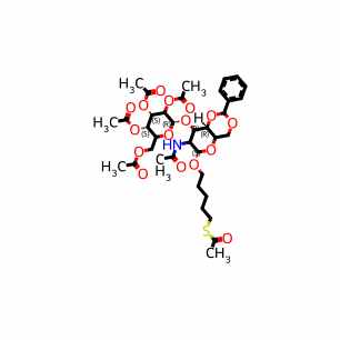 CC(=O)NC1[C@@H](OCCCCCSC(C)=O)OC2COC(c3ccccc3)O[C@@H]2[C@@H]1O[C@@H]1OC(COC(C)=O)[C@H](OC(C)=O)[C@H](OC(C)=O)C1OC(C)=O